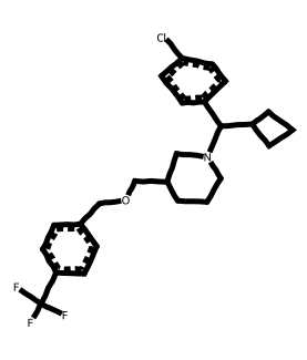 FC(F)(F)c1ccc(COCC2CCCN(C(c3ccc(Cl)cc3)C3CCC3)C2)cc1